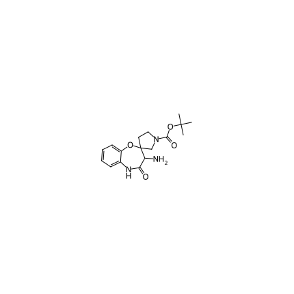 CC(C)(C)OC(=O)N1CCC2(C1)Oc1ccccc1NC(=O)C2N